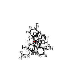 CO[C@]12CC[C@@]3(C[C@@H]1[C@](C)(O)c1cccc(F)c1)[C@H]1Cc4ccc(O)c5c4[C@@]3(CCN1CC1CC1)[C@H]2O5